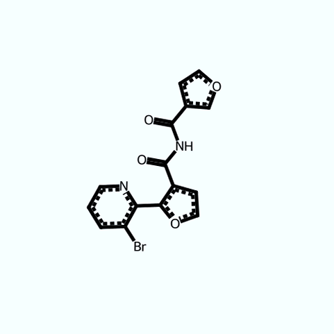 O=C(NC(=O)c1ccoc1-c1ncccc1Br)c1ccoc1